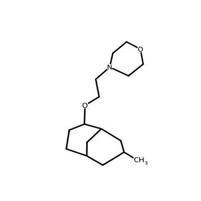 CC1CC2CCC(OCCN3CCOCC3)C(C1)C2